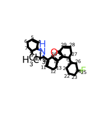 CC(NC1C=CCCC1C)C1=CCCc2c1oc1c2C(C2CCCC(F)C2)CC=C1